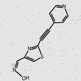 O/N=C\c1csc(C#Cc2ccncc2)n1